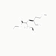 CCOC(=O)C(C=C(CBr)CCOC)NC=O